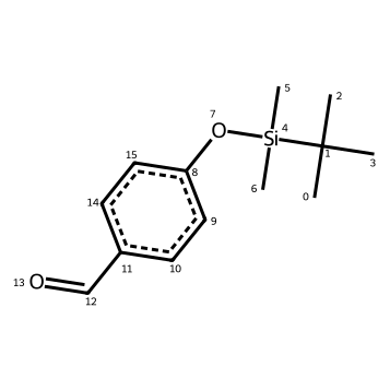 CC(C)(C)[Si](C)(C)Oc1ccc(C=O)cc1